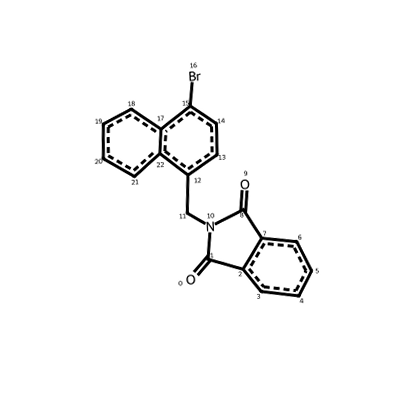 O=C1c2ccccc2C(=O)N1Cc1ccc(Br)c2ccccc12